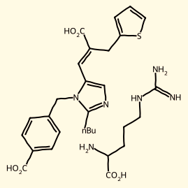 CCCCc1ncc(/C=C(\Cc2cccs2)C(=O)O)n1Cc1ccc(C(=O)O)cc1.N=C(N)NCCCC(N)C(=O)O